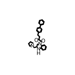 O=C(CCc1ccc(-c2ccccc2)cc1)C(=O)N1CC(CN2CCCC2)Nc2ccccc21